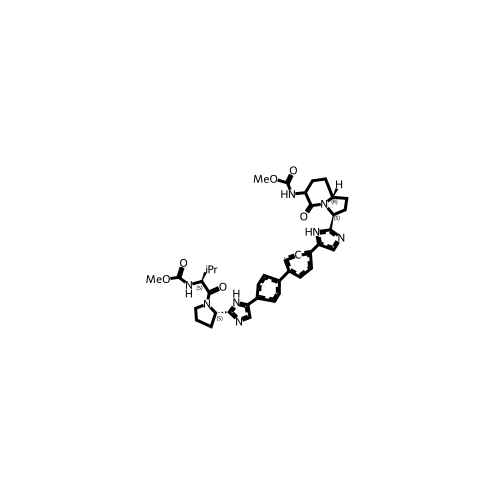 COC(=O)NC1CC[C@@H]2CC[C@@H](c3ncc(-c4ccc(-c5ccc(-c6cnc([C@@H]7CCCN7C(=O)[C@@H](NC(=O)OC)C(C)C)[nH]6)cc5)cc4)[nH]3)N2C1=O